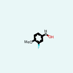 COc1ccc(BO)cc1F